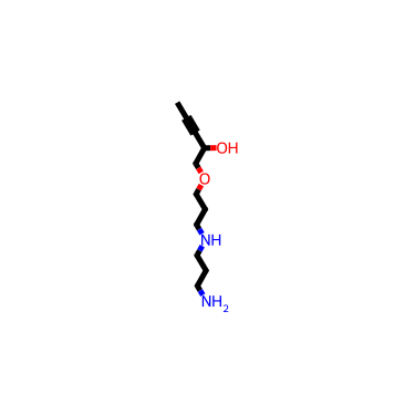 CC#CC(O)COCCCNCCCN